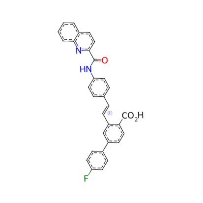 O=C(Nc1ccc(/C=C/c2cc(-c3ccc(F)cc3)ccc2C(=O)O)cc1)c1ccc2ccccc2n1